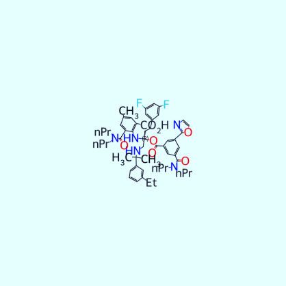 CCCN(CCC)C(=O)c1cc(C(=O)O[C@](CCc2cc(F)cc(F)c2)(CNC(C)(C)c2cccc(CC)c2)Nc2c(C(=O)O)cc(C)cc2C(=O)N(CCC)CCC)cc(-c2ncco2)c1